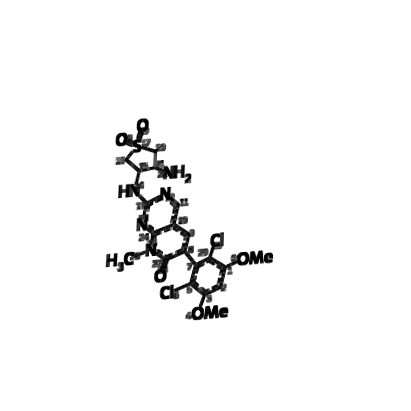 COc1cc(OC)c(Cl)c(-c2cc3cnc(NC4CS(=O)(=O)CC4N)nc3n(C)c2=O)c1Cl